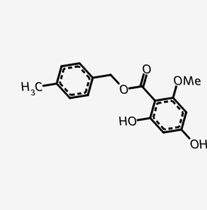 COc1cc(O)cc(O)c1C(=O)OCc1ccc(C)cc1